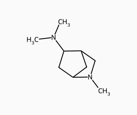 CN(C)C1CC2CC1CN2C